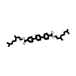 CC(C)CCCC(C)CCOC(=O)c1ccc(-c2ccc(-c3ccc(C(=O)OCCC(C)CCCC(C)C)cc3)cc2)cc1